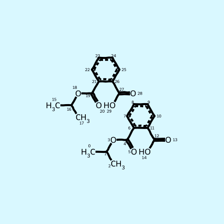 CC(C)OC(=O)c1ccccc1C(=O)O.CC(C)OC(=O)c1ccccc1C(=O)O